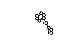 c1cnc2c(c1)ccc1cc(-c3ccc(-c4cc5ccc6cccc7c8cccc9ccc%10cccc(c(c4)c5c67)c%10c98)nc3)cnc12